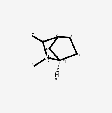 CC1C2CC[C@H](C2)N1C